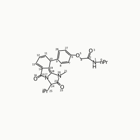 CCCNC(=O)COc1ccc(C2C=CC=C3C(=O)N4C(=C32)N(C)C(=O)C4C(C)C)cc1